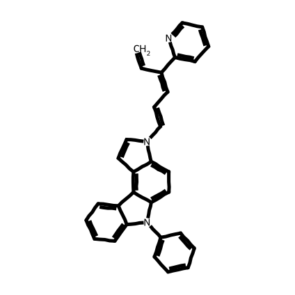 C=C/C(=C\C=C\n1ccc2c3c4ccccc4n(-c4ccccc4)c3ccc21)c1ccccn1